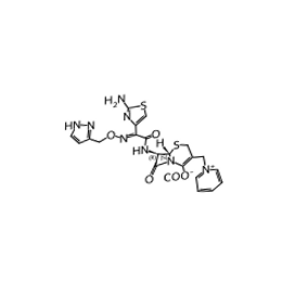 Nc1nc(C(=NOCc2cc[nH]n2)C(=O)N[C@@H]2C(=O)N3C(C(=O)[O-])=C(C[n+]4ccccc4)CS[C@@H]23)cs1